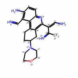 N=Cc1c(N)ccc2nc(/C(=C/N)C(=N)C(F)(F)F)c3c(c12)CCC(N1CCOCC1)C3